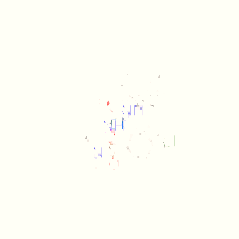 O=C(NCC1CCCCN1S(=O)(=O)c1ccc(Cl)cc1Cl)NC12CC3CC(CC(C3)C1)C2